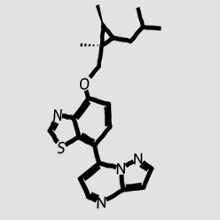 CC(C)CC1[C@H](C)[C@]1(C)COc1ccc(-c2ccnc3ccnn23)c2scnc12